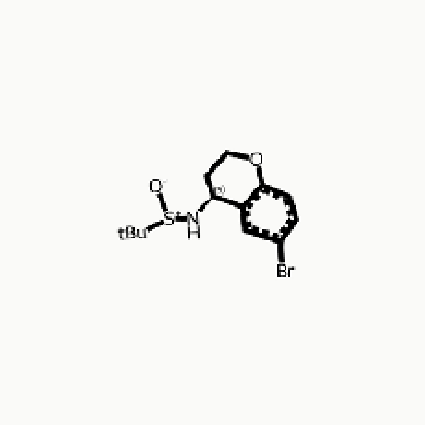 CC(C)(C)[S+]([O-])N[C@H]1CCOc2ccc(Br)cc21